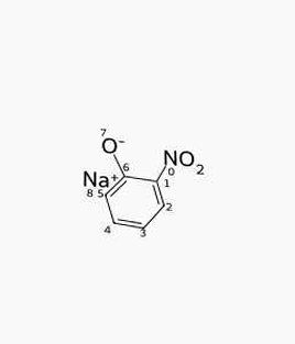 O=[N+]([O-])c1ccccc1[O-].[Na+]